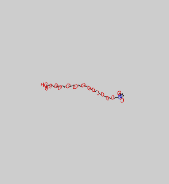 O=C(O)COCCOCCOCCOCCOCCOCCOCCOCCOCCOCCOCCOCCCN1C(=O)C=CC1=O